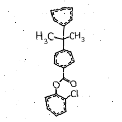 CC(C)(c1ccccc1)c1ccc(C(=O)Oc2ccccc2Cl)cc1